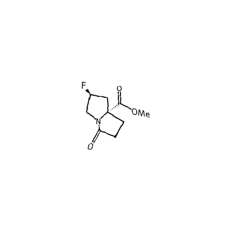 COC(=O)[C@]12CCC(=O)N1C[C@@H](F)C2